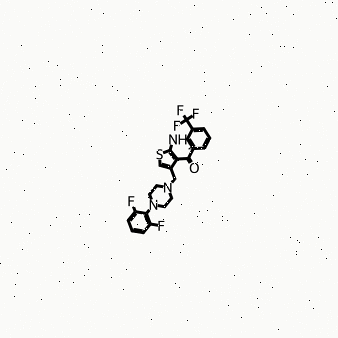 Nc1scc(CN2CCN(c3c(F)cccc3F)CC2)c1C(=O)c1cccc(C(F)(F)F)c1